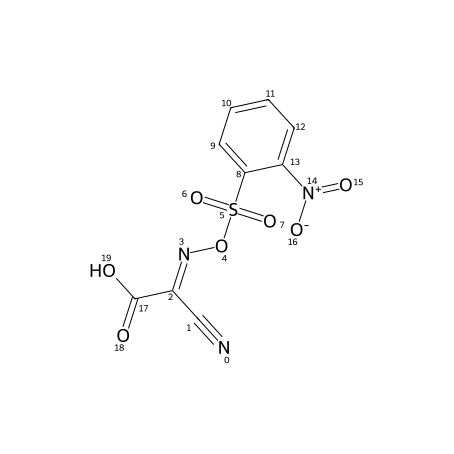 N#C/C(=N\OS(=O)(=O)c1ccccc1[N+](=O)[O-])C(=O)O